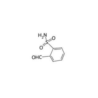 NS(=O)(=O)c1ccccc1C=O